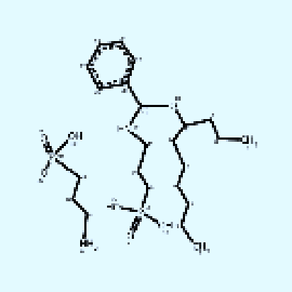 CCCCCCC(CCC)OC(NCCCP(=O)(O)O)c1ccccc1.NCCCP(=O)(O)O